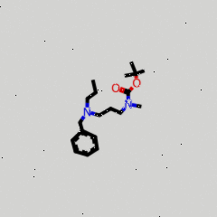 CCCN(CCCN(C)C(=O)OC(C)(C)C)Cc1ccccc1